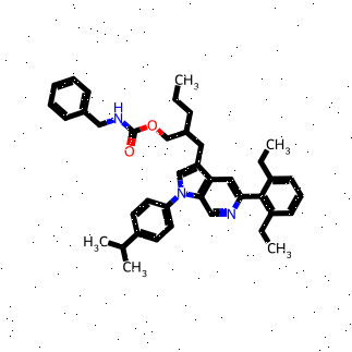 CCCC(COC(=O)NCc1ccccc1)Cc1cn(-c2ccc(C(C)C)cc2)c2cnc(-c3c(CC)cccc3CC)cc12